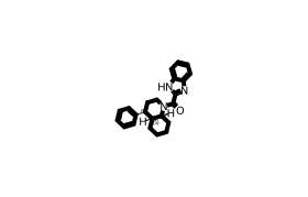 O=C(c1nc2ccccc2[nH]1)N1CC[C@@H](c2ccccc2)[C@@H]2CCCC[C@@H]21